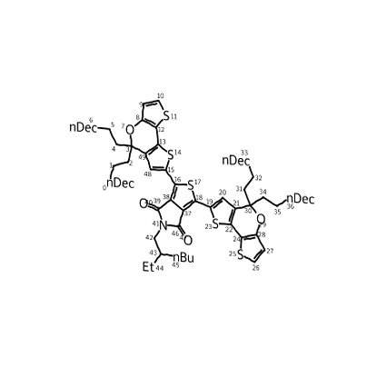 CCCCCCCCCCCCC1(CCCCCCCCCCCC)Oc2ccsc2-c2sc(-c3sc(-c4cc5c(s4)-c4sccc4OC5(CCCCCCCCCCCC)CCCCCCCCCCCC)c4c3C(=O)N(CC(CC)CCCC)C4=O)cc21